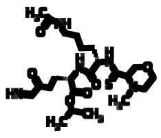 CC(=O)NCCCC[C@H](NC(=S)C1COCCN1C)C(=O)N[C@@H](CCC(=O)C=N)C(=O)OC(C)C